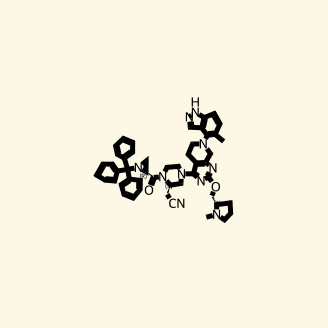 Cc1ccc2[nH]ncc2c1N1CCc2c(nc(OC[C@@H]3CCCN3C)nc2N2CCN(C(=O)[C@H]3CN3C(c3ccccc3)(c3ccccc3)c3ccccc3)[C@@H](CC#N)C2)C1